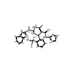 CC1=C(C(=O)Nc2nncs2)C(c2ccccc2C(F)(F)F)N=C(Nc2nc3ccccc3o2)N1